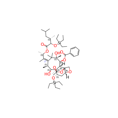 CC[Si](CC)(CC)OC(C(=O)O[C@@H](C)/C(C)=C1/[C@H](C)[C@H](O)[C@]2(C)[C@@H](O[Si](CC)(CC)CC)C[C@H]3OC[C@@]3(OC(C)=O)[C@H]2[C@H](OC(=O)c2ccccc2)[C@@](C)(O)C1(C)C)[C@@H](C)CC(C)C